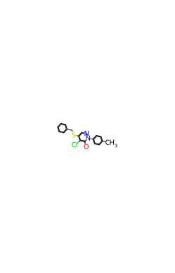 Cc1ccc(-n2ncc(SCc3ccccc3)c(Cl)c2=O)cc1